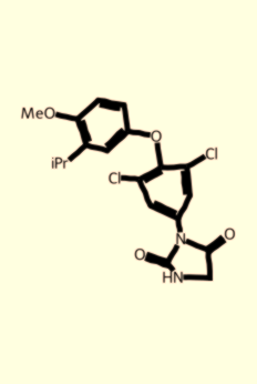 COc1ccc(Oc2c(Cl)cc(N3C(=O)CNC3=O)cc2Cl)cc1C(C)C